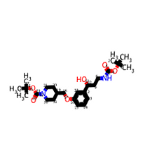 CC(C)(C)OC(=O)NCCC(O)c1cccc(OCC2CCN(C(=O)OC(C)(C)C)CC2)c1